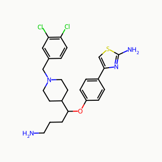 NCCCC(Oc1ccc(-c2csc(N)n2)cc1)C1CCN(Cc2ccc(Cl)c(Cl)c2)CC1